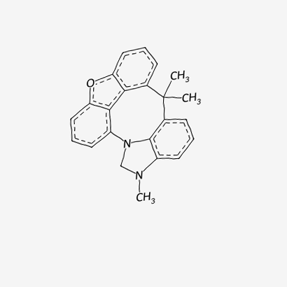 CN1CN2c3c1cccc3C(C)(C)c1cccc3oc4cccc2c4c13